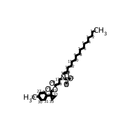 CCCCCCCCCCCCCCCCN(CCC(=O)OC(=O)C1(c2ccc(C)cc2)CC1)[SH](=O)=O